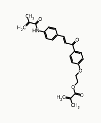 C=C(C)C(=O)Nc1ccc(/C=C/C(=O)c2ccc(OCCOC(=O)C(=C)C)cc2)cc1